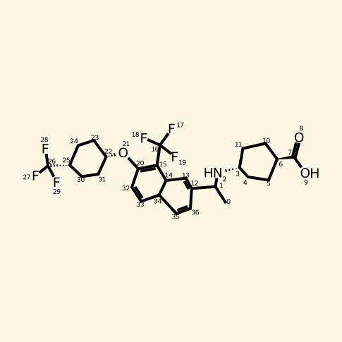 CC(N[C@H]1CC[C@H](C(=O)O)CC1)C1=CC2C(C(F)(F)F)=C(O[C@H]3CC[C@@H](C(F)(F)F)CC3)C=CC2C=C1